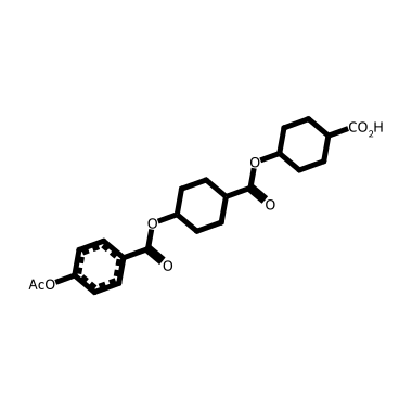 CC(=O)Oc1ccc(C(=O)OC2CCC(C(=O)OC3CCC(C(=O)O)CC3)CC2)cc1